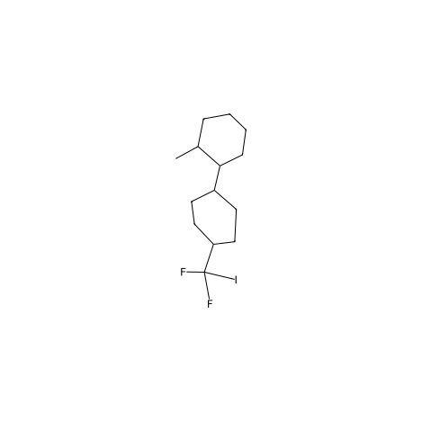 CC1CCCCC1C1CCC(C(F)(F)I)CC1